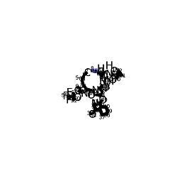 CC[C@@H]1C[C@H](C)CC/C=C\[C@@H]2C[C@@]2(C(=O)NS(=O)(=O)C2(C)CC2)NC(=O)[C@@H]2C[C@@H](Oc3ncc(OC)c4ccccc34)CN2C(=O)[C@H]1NC(=O)OC(C)(C)C(F)(F)F